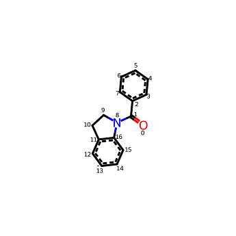 O=C(c1ccccc1)N1CCc2c[c]ccc21